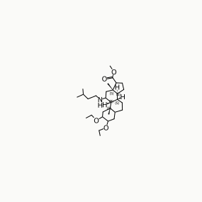 CCOC1CC2CC[C@@H]3[C@@H](C(NCCC(C)C)C[C@]4(C)C(C(=O)OC)CC[C@@H]34)[C@@]2(C)CC1OCC